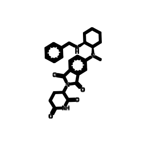 CN(c1ccc2c(c1)C(=O)N(C1CCC(=O)NC1=O)C2=O)[C@@H]1CCCC[C@@H]1NCc1ccccc1